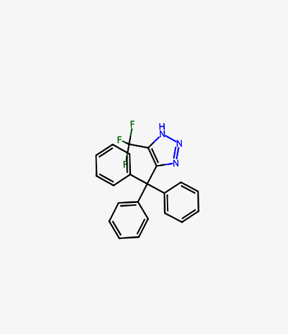 FC(F)(F)c1[nH]nnc1C(c1ccccc1)(c1ccccc1)c1ccccc1